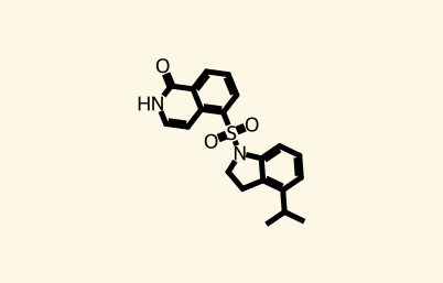 CC(C)c1cccc2c1CCN2S(=O)(=O)c1cccc2c(=O)[nH]ccc12